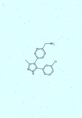 Cc1n[nH]c(-c2cccc(Cl)c2)c1-c1ccc(CN)nc1